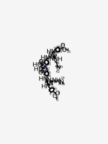 CCOC(=O)c1ccc(Nc2nc(NCCCN(C)C)nc(Nc3ccc(/C=C/c4ccc(Nc5nc(NCCCN(C)C)nc(Nc6ccc(C(=O)OCC)cc6)n5)cc4S(=O)(=O)O)c(S(=O)(=O)O)c3)n2)cc1